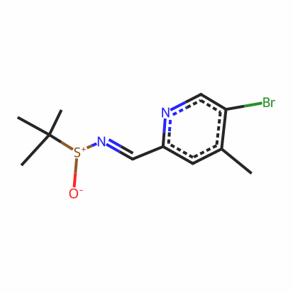 Cc1cc(/C=N/[S+]([O-])C(C)(C)C)ncc1Br